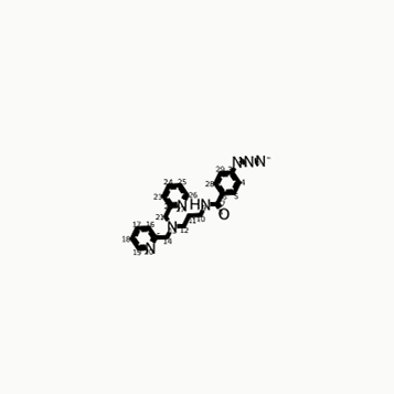 [N-]=[N+]=Nc1ccc(C(=O)NCCCN(Cc2ccccn2)Cc2ccccn2)cc1